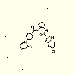 O=C(N[C@H]1CCCC1NC(=O)c1cc2cc(Cl)ccc2[nH]1)c1ccc(-n2ccccc2=O)cc1